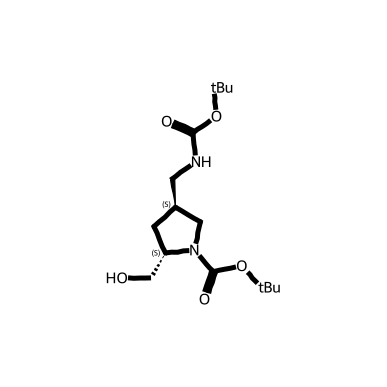 CC(C)(C)OC(=O)NC[C@@H]1C[C@@H](CO)N(C(=O)OC(C)(C)C)C1